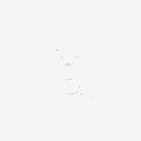 CCC(C)(C)C(C)(CC(C)C)C(=O)OC12CC3CC(C1)C(O)(C3)C2